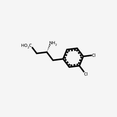 N[C@@H](CC(=O)O)Cc1ccc(Cl)c(Cl)c1